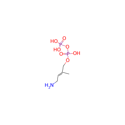 C/C(=C\CN)COP(=O)(O)OP(=O)(O)O